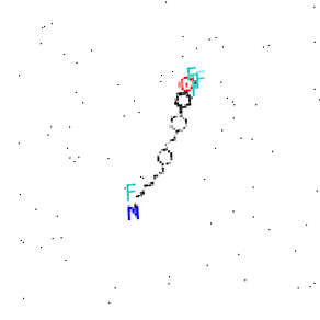 N#CC(F)=CC=CCCC1CCC(CCC2CCC(c3ccc(OC(F)(F)F)cc3)CC2)CC1